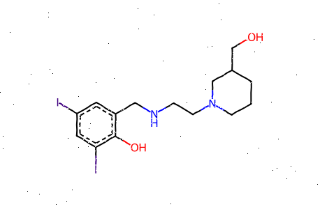 OCC1CCCN(CCNCc2cc(I)cc(I)c2O)C1